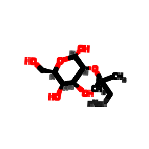 CCCCCCCCCC[Si](C)(C)O[C@@H]1[C@@H](O)[C@@H](O)[C@@H](CO)O[C@@H]1O